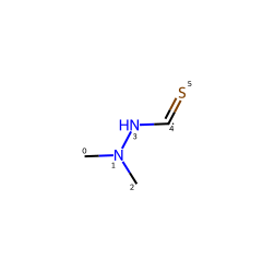 CN(C)N[C]=S